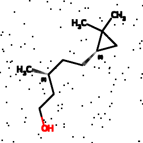 C[C@@H](CCO)CC[C@H]1CC1(C)C